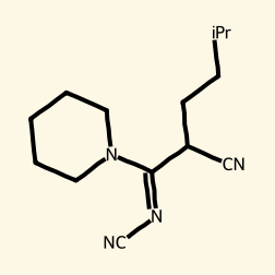 CC(C)CCC(C#N)/C(=N/C#N)N1CCCCC1